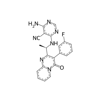 C[C@@H](Nc1ncnc(N)c1C#N)c1nc2ccccn2c(=O)c1-c1cccc(F)c1